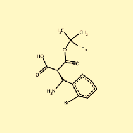 CC(C)(C)OC(=O)[C@H](C(=O)O)C(N)c1ccccc1Br